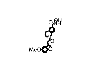 COc1ccc2occ(CC(=O)N3CCCc4cc(C(=O)NO)ccc4C3)c2c1